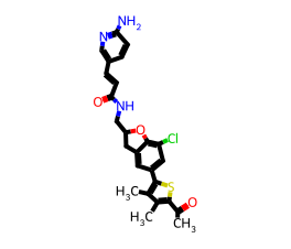 CC(=O)c1sc(-c2cc(Cl)c3c(c2)CC(CNC(=O)C=Cc2ccc(N)nc2)O3)c(C)c1C